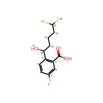 O=C(O)c1cc(F)ccc1C(O)CCCC(F)F